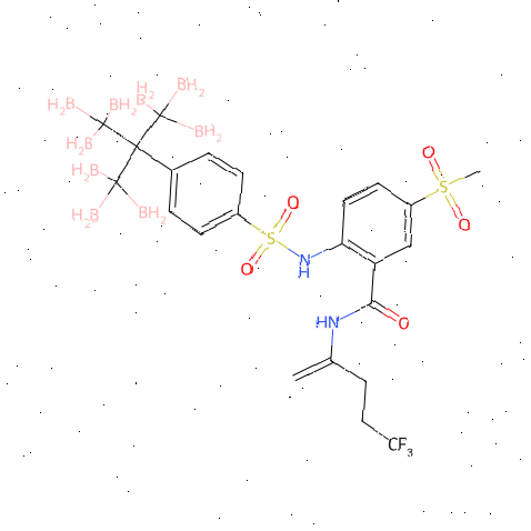 BC(B)(B)C(c1ccc(S(=O)(=O)Nc2ccc(S(C)(=O)=O)cc2C(=O)NC(=C)CCC(F)(F)F)cc1)(C(B)(B)B)C(B)(B)B